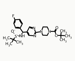 CC(C)(C)OC(=O)N1CCN(c2ncc([C@@H](N[S@@+]([O-])C(C)(C)C)c3ccc(F)cc3)cn2)CC1